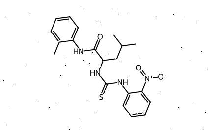 Cc1ccccc1NC(=O)C(CC(C)C)NC(=S)Nc1ccccc1[N+](=O)[O-]